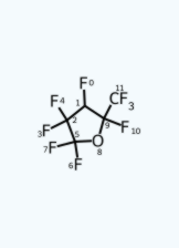 FC1C(F)(F)C(F)(F)OC1(F)C(F)(F)F